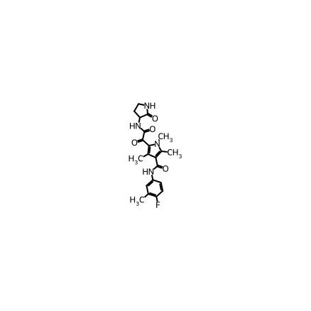 Cc1cc(NC(=O)c2c(C)c(C(=O)C(=O)NC3CCNC3=O)n(C)c2C)ccc1F